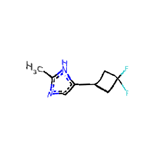 Cc1ncc(C2CC(F)(F)C2)[nH]1